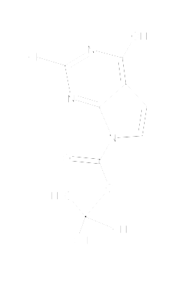 CC(C)(C)OC(=O)n1ccc2c(O)nc(Cl)nc21